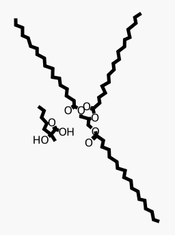 CCCCCC(C)(O)C(=O)O.CCCCCCCCCCCCCCCCCC(=O)OCC(COC(=O)CCCCCCCCCCCCCCCCC)OC(=O)CCCCCCCCCCCCCCCCC